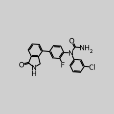 NC(=O)N(c1cccc(Cl)c1)c1ccc(-c2cccc3c2CNC3=O)cc1F